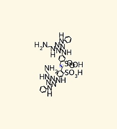 NCCNc1nc(Nc2ccccc2)nc(Nc2ccc(/C=C/c3ccc(Nc4nc(NCCN)nc(Nc5ccccc5)n4)cc3S(=O)(=O)O)c(SOOO)c2)n1